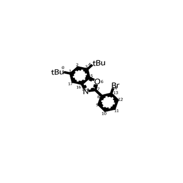 CC(C)(C)c1cc(C(C)(C)C)c2oc(-c3ccccc3Br)nc2c1